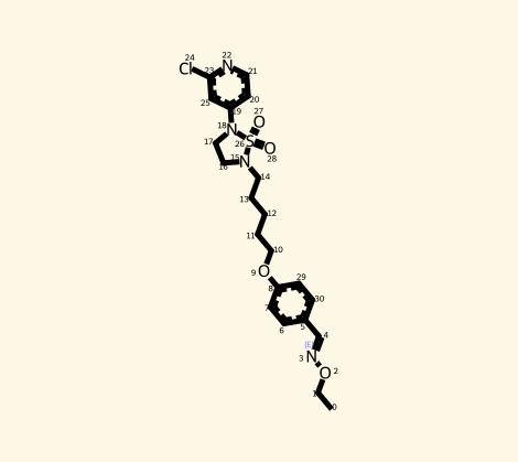 CCO/N=C/c1ccc(OCCCCCN2CCN(c3ccnc(Cl)c3)S2(=O)=O)cc1